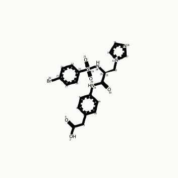 O=C(O)Cc1ccc(NC(=O)[C@H](Cn2ccnc2)NS(=O)(=O)c2ccc(Br)cc2)cc1